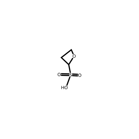 O=S(=O)(O)C1CCO1